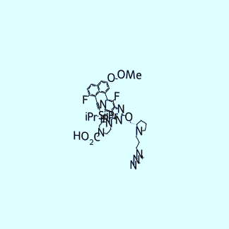 COCOc1cc(-c2ncc3c(N4CCN(C(=O)O)CC4)nc(OC[C@@H]4CCCN4CCCN=[N+]=[N-])nc3c2F)c2c(C#C[Si](C(C)C)(C(C)C)C(C)C)c(F)ccc2c1